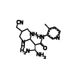 Cc1ccncc1NC(=O)C(C(N)N)C1NCC(CC#N)CN1